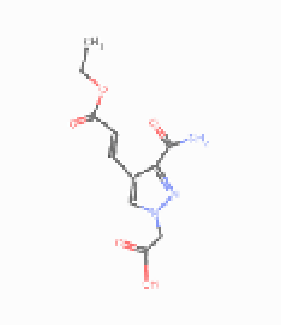 CCOC(=O)/C=C/c1cn(CC(=O)O)nc1C(N)=O